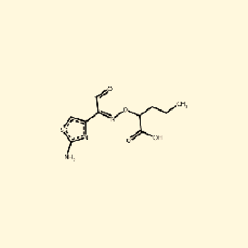 CCCC(O/N=C(\[C]=O)c1csc(N)n1)C(=O)O